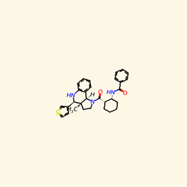 C[C@]12CCN(C(=O)[C@H]3CCCC[C@H]3NC(=O)c3ccccc3)[C@@H]1c1ccccc1N[C@@H]2c1ccsc1